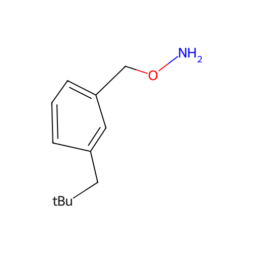 CC(C)(C)Cc1cccc(CON)c1